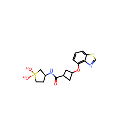 O=C(NC1CCS(O)(O)C1)C1CC(Oc2cccc3scnc23)C1